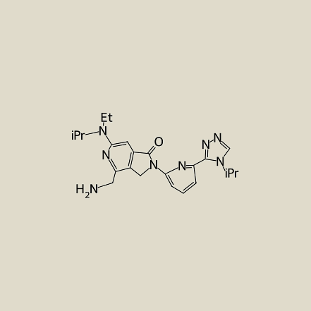 CCN(c1cc2c(c(CN)n1)CN(c1cccc(-c3nncn3C(C)C)n1)C2=O)C(C)C